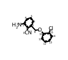 N#Cc1c(N)cccc1COc1ccccc1Cl